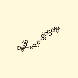 C=C(C)C(=O)OCC(CCOc1ccc2c(c1)CCc1cc(/C=C/C(=O)Oc3ccc(OC(=O)c4ccc(OC(=O)C(=C)C)cc4)cc3C)ccc1-2)COC(=O)CC